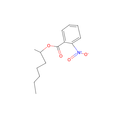 CCCCCC(C)OC(=O)c1ccccc1[N+](=O)[O-]